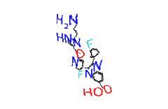 NCCCc1nc(COc2cc(-c3nc4cc(C(=O)O)ccc4nc3-c3ccc(F)cc3)c(F)cn2)c[nH]1